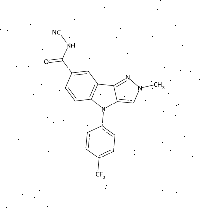 Cn1cc2c(n1)c1cc(C(=O)NC#N)ccc1n2-c1ccc(C(F)(F)F)cc1